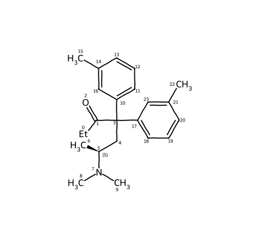 CCC(=O)C(C[C@H](C)N(C)C)(c1cccc(C)c1)c1cccc(C)c1